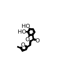 Cc1ccc(C=C2Oc3c(ccc(O)c3O)C2=O)o1